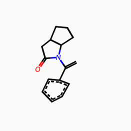 C=C(c1ccccc1)N1C(=O)CC2CCCC21